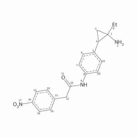 CCC1(N)CC1c1ccc(NC(=O)Cc2ccc([N+](=O)[O-])cc2)cc1